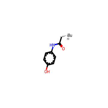 CC[C@@H](C)[CH]C(=O)Nc1ccc(O)cc1